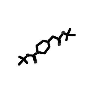 CC(C)(C)OC(=O)CC1CCN(C(=O)OC(C)(C)C)CC1